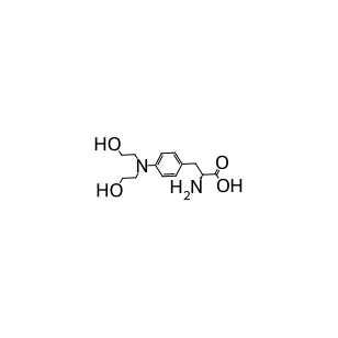 N[C@@H](Cc1ccc(N(CCO)CCO)cc1)C(=O)O